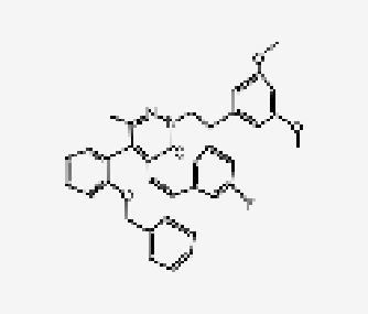 COc1cc(CCn2nc(C)c(-c3ccccc3OCc3ccccc3)c(C=Cc3cccc(F)c3)c2=O)cc(OC)c1